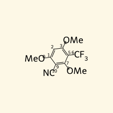 COc1cc(OC)c(C(F)(F)F)c(OC)c1C#N